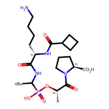 CCCCC(NC(=O)[C@H](CCCCN)NC(=O)C1CCC1)P(=O)(O)O[C@@H](C)C(=O)N1CCC[C@H]1C(=O)O